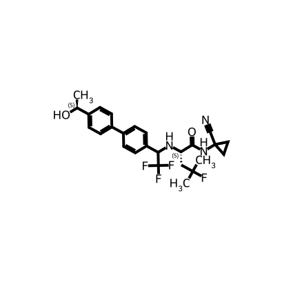 C[C@H](O)c1ccc(-c2ccc(C(N[C@@H](CC(C)(C)F)C(=O)NC3(C#N)CC3)C(F)(F)F)cc2)cc1